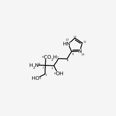 NC(CO)(C(=O)O)C(O)CCc1ncc[nH]1